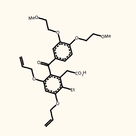 C=CCOc1cc(OCC=C)c(C(=O)c2ccc(OCCOC)c(OCCOC)c2)c(CC(=O)O)c1CC